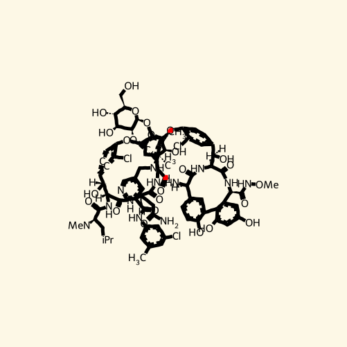 CN[C@H](CC(C)C)C(=O)N[C@H]1C(=O)N[C@@H](CC(N)=O)C(=O)N[C@H]2C(=O)N[C@H]3C(=O)N[C@H](C(=O)N[C@@H](C(=O)NOC)c4cc(O)cc(O)c4-c4cc3ccc4O)[C@H](O)c3ccc(c(Cl)c3)Oc3cc2cc(c3O[C@@H]2O[C@H](CO)[C@@H](O)[C@H](O)[C@H]2O[C@H]2C[C@](C)(NCc3cncc(C(=O)Nc4cc(C)cc(Cl)c4)c3)[C@H](O)[C@H](C)O2)Oc2ccc(cc2Cl)[C@H]1O